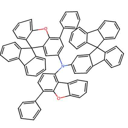 c1ccc(-c2cc(N(c3ccc4c(c3)C3(c5ccccc5-c5ccccc53)c3ccccc3-4)c3ccc(-c4ccccc4)c4oc5ccccc5c34)cc3c2Oc2ccccc2C32c3ccccc3-c3ccccc32)cc1